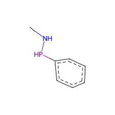 CNPc1ccccc1